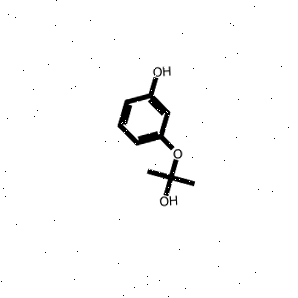 CC(C)(O)Oc1cccc(O)c1